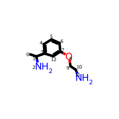 CC(N)c1cccc(OCCN)c1